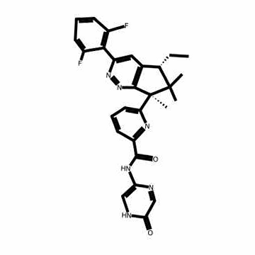 CC[C@H]1c2cc(-c3c(F)cccc3F)nnc2[C@](C)(c2cccc(C(=O)Nc3c[nH]c(=O)cn3)n2)C1(C)C